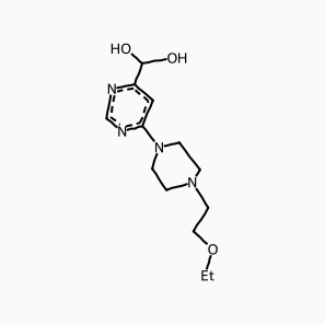 CCOCCN1CCN(c2cc(C(O)O)ncn2)CC1